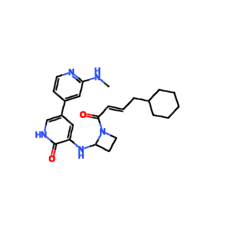 CNc1cc(-c2c[nH]c(=O)c(NC3CCN3C(=O)/C=C/CC3CCCCC3)c2)ccn1